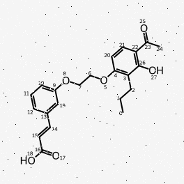 CCCc1c(OCCOc2cccc(C=CC(=O)O)c2)ccc(C(C)=O)c1O